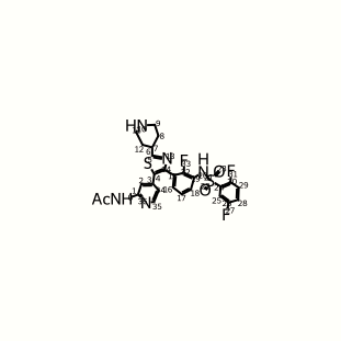 CC(=O)Nc1cc(-c2sc(C3CCNCC3)nc2-c2cccc(NS(=O)(=O)c3cc(F)ccc3F)c2F)ccn1